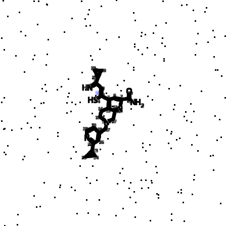 N=C(/C=C(\S)c1cc(C(N)=O)nc2c1CCN(Cc1ccnc(C3CC3)c1)C2)C1CC1